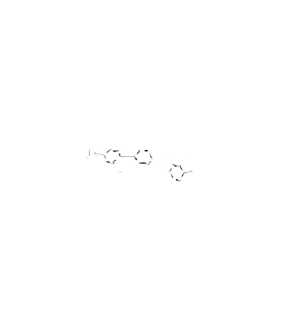 CCc1ccc(CCc2ccc(-c3ccc(C4CO4)cc3F)cc2)c(F)c1F